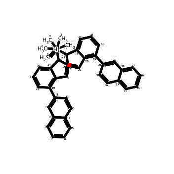 [CH3][Hf]([CH3])([CH3])([CH3])(=[SiH2])([CH]1C=Cc2c(-c3ccc4ccccc4c3)cccc21)[CH]1C=Cc2c(-c3ccc4ccccc4c3)cccc21